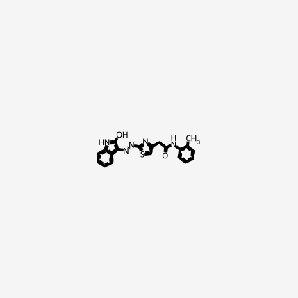 Cc1ccccc1NC(=O)Cc1csc(/N=N/c2c(O)[nH]c3ccccc23)n1